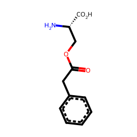 N[C@@H](COC(=O)Cc1ccccc1)C(=O)O